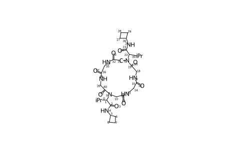 CC(C)C(C(=O)NC1CCC1)N1CC(=O)NCC(=O)NCC(=O)N(C(C(=O)NC2CCC2)C(C)C)CC(=O)NCC(=O)NCC1=O